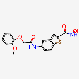 COc1ccccc1OCC(=O)Nc1ccc2sc(C(=O)NO)cc2c1